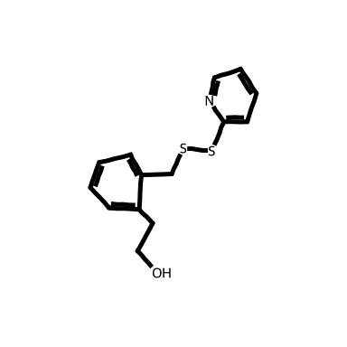 OCCc1ccccc1CSSc1ccccn1